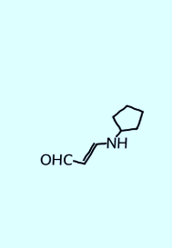 O=CC=CNC1CCCC1